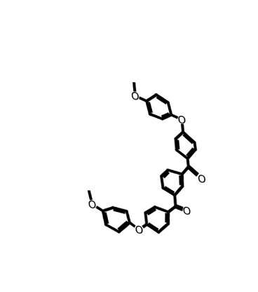 COc1ccc(Oc2ccc(C(=O)c3cccc(C(=O)c4ccc(Oc5ccc(OC)cc5)cc4)c3)cc2)cc1